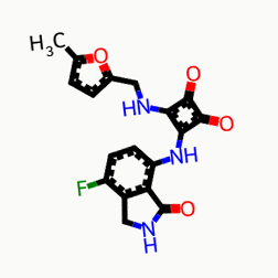 Cc1ccc(CNc2c(Nc3ccc(F)c4c3C(=O)NC4)c(=O)c2=O)o1